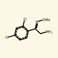 CON=C(CN)c1ccc(Cl)cc1Cl